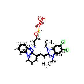 CCN1C(=CC=C2CCCn3c2[n+](CCCOSOOO)c2ccccc23)N(CC)c2cc(Cl)c(Cl)cc21